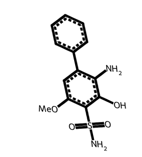 COc1cc(-c2ccccc2)c(N)c(O)c1S(N)(=O)=O